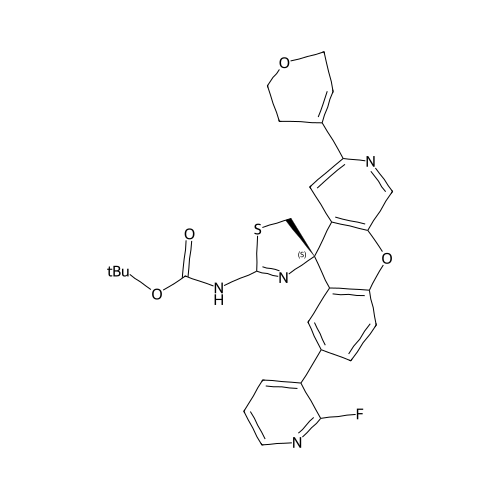 CC(C)(C)OC(=O)NC1=N[C@@]2(CS1)c1cc(-c3cccnc3F)ccc1Oc1cnc(C3=CCOCC3)cc12